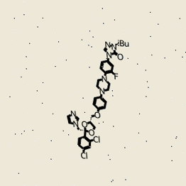 CC[C@H](C)n1ncn(-c2ccc(N3CCN(c4ccc(OC[C@@H]5CO[C@@](Cn6ccnc6)(c6ccc(Cl)cc6Cl)O5)cc4)CC3)c(F)c2)c1=O